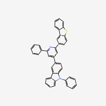 c1ccc(-c2cc(-c3ccc4c(c3)c3ccccc3n4-c3ccccc3)cc(-c3ccc4sc5ccccc5c4c3)n2)cc1